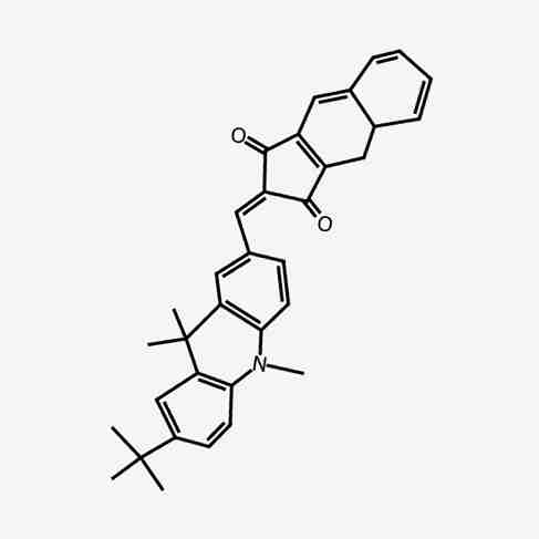 CN1c2ccc(/C=C3/C(=O)C4=C(CC5C=CC=CC5=C4)C3=O)cc2C(C)(C)c2cc(C(C)(C)C)ccc21